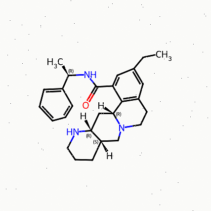 CCc1cc2c(c(C(=O)N[C@H](C)c3ccccc3)c1)[C@H]1C[C@H]3NCCC[C@H]3CN1CC2